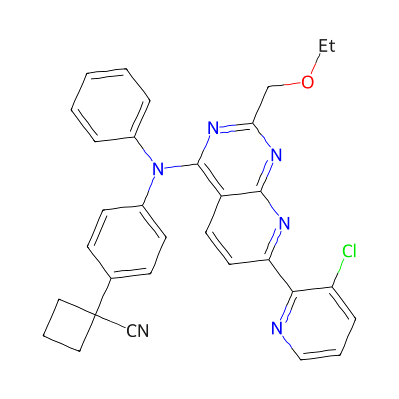 CCOCc1nc(N(c2ccccc2)c2ccc(C3(C#N)CCC3)cc2)c2ccc(-c3ncccc3Cl)nc2n1